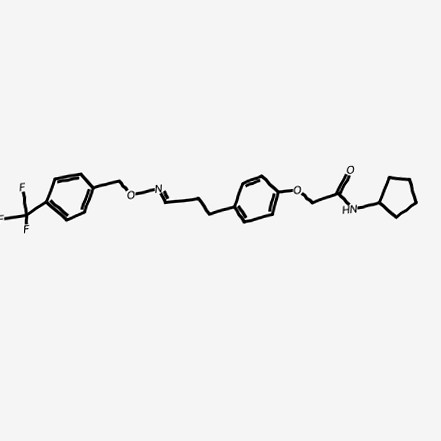 O=C(COc1ccc(CCC=NOCc2ccc(C(F)(F)F)cc2)cc1)NC1CCCC1